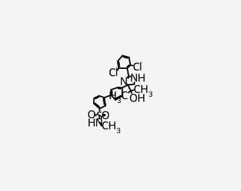 CNS(=O)(=O)c1cccc(-c2ccc(C3(C(C)(C)O)CNC(c4c(Cl)cccc4Cl)=N3)cc2)c1